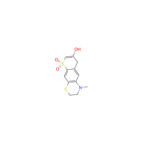 CN1CCSc2cc3c(cc21)CC(O)=CS3(=O)=O